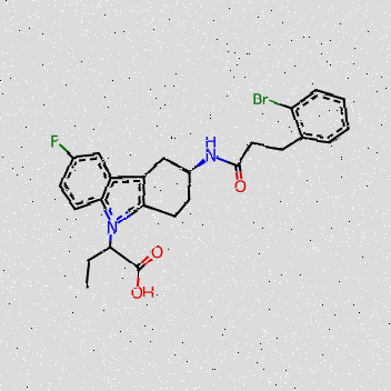 CCC(C(=O)O)n1c2c(c3cc(F)ccc31)C[C@@H](NC(=O)CCc1ccccc1Br)CC2